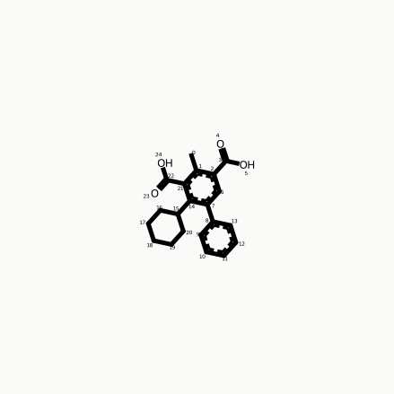 Cc1c(C(=O)O)cc(-c2ccccc2)c(C2CCCCC2)c1C(=O)O